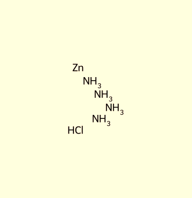 Cl.N.N.N.N.[Zn]